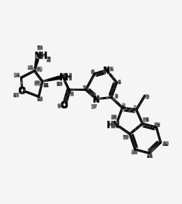 Cc1c(-c2cncc(C(=O)N[C@H]3COC[C@H]3N)n2)[nH]c2ccccc12